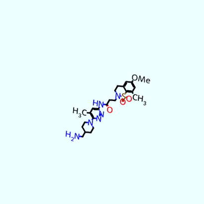 COc1cc(C)c2c(c1)CCN(CCC(=O)Nc1cc(C)c(N3CCC(CN)CC3)nn1)S2(=O)=O